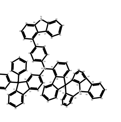 c1ccc(C2(c3ccccc3)c3ccccc3-c3ccc(N(c4ccc(-c5cccc6sc7ccccc7c56)cc4)c4cccc5c4-c4ccccc4C54c5ccccc5-n5c6ccccc6c6cccc4c65)cc32)cc1